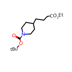 CCOC(=O)CCCC1CCN(C(=O)OC(C)(C)C)CC1